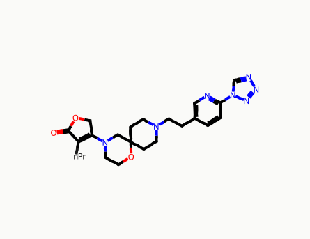 CCCC1=C(N2CCOC3(CCN(CCc4ccc(-n5cnnn5)nc4)CC3)C2)COC1=O